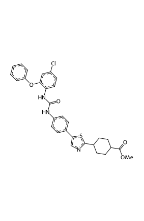 COC(=O)C1CCC(c2ncc(-c3ccc(NC(=O)Nc4ccc(Cl)cc4Oc4ccccc4)cc3)s2)CC1